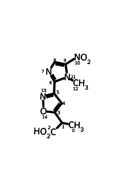 CC(C(=O)O)c1cc(-c2ncc([N+](=O)[O-])n2C)no1